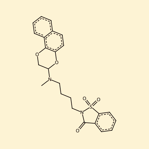 CN(CCCCN1C(=O)c2ccccc2S1(=O)=O)C1COc2c(ccc3ccccc23)O1